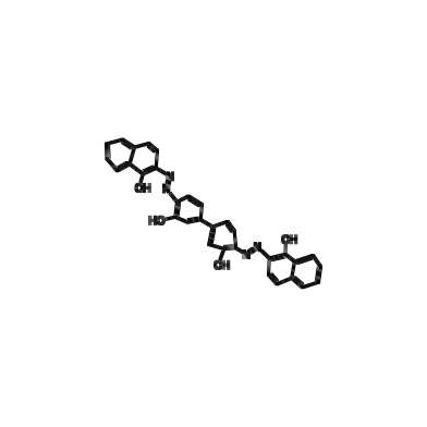 Oc1cc(-c2ccc(N=Nc3ccc4ccccc4c3O)c(O)c2)ccc1N=Nc1ccc2ccccc2c1O